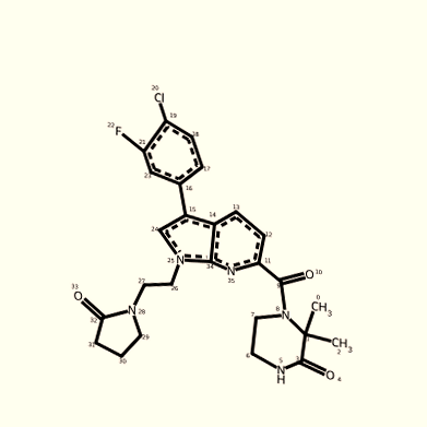 CC1(C)C(=O)NCCN1C(=O)c1ccc2c(-c3ccc(Cl)c(F)c3)cn(CCN3CCCC3=O)c2n1